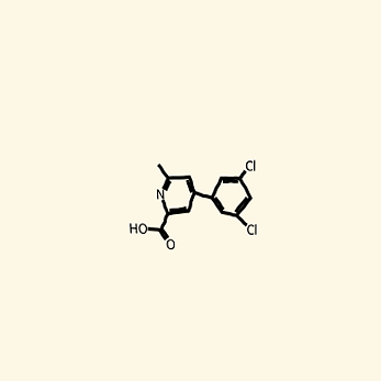 Cc1cc(-c2cc(Cl)cc(Cl)c2)cc(C(=O)O)n1